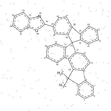 CC1(C)c2ccccc2-c2ccc(C3(c4ccccc4)c4ccccc4-c4ccc(-c5nc6ccccc6o5)cc43)cc21